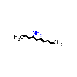 C=CCC=CCC(N)CC=C